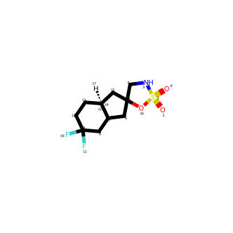 O=S1(=O)NCC2(CC3CC(F)(F)CC[C@H]3C2)O1